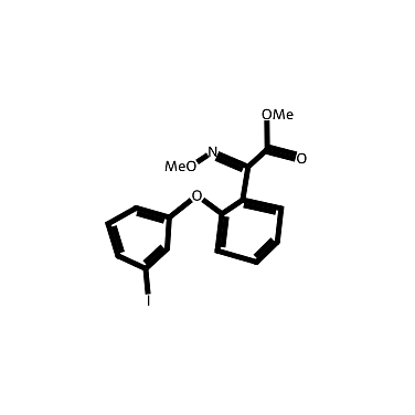 CO/N=C(/C(=O)OC)c1ccccc1Oc1cccc(I)c1